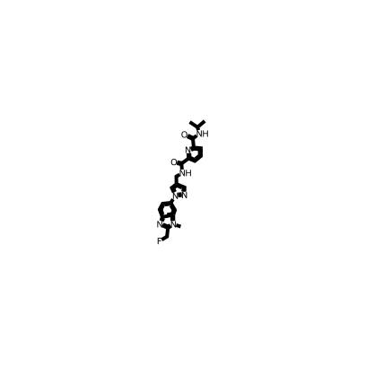 CC(C)NC(=O)c1cccc(C(=O)NCc2cnn(-c3ccc4nc(CF)n(C)c4c3)c2)n1